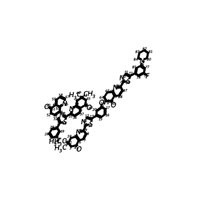 CC1(C)CC(=O)c2ccc(-c3ncc(-c4cccc(O)c4)s3)nc2C1.Cc1cccc(-c2cnc(-c3ccc4c(n3)CC(C)(C)CC4=O)s2)c1.O=C1CC=Cc2ncccc21.O=C1CCCc2nc(-c3ncc(-c4cc(F)cc(N5CCCCC5)c4)s3)ccc21